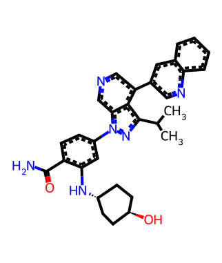 CC(C)c1nn(-c2ccc(C(N)=O)c(N[C@H]3CC[C@H](O)CC3)c2)c2cncc(-c3cnc4ccccc4c3)c12